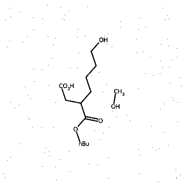 CCCCOC(=O)C(CCCCO)CC(=O)O.CO